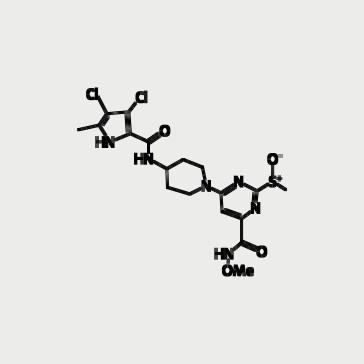 CONC(=O)c1cc(N2CCC(NC(=O)c3[nH]c(C)c(Cl)c3Cl)CC2)nc([S+](C)[O-])n1